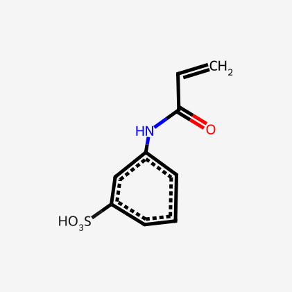 C=CC(=O)Nc1cccc(S(=O)(=O)O)c1